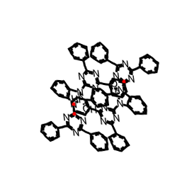 O=P1(c2ccc([PH]3(O)N(c4nc(-c5ccccc5)nc(-c5ccccc5)n4)c4ccccc4N3c3nc(-c4ccccc4)nc(-c4ccccc4)n3)cc2)N(c2nc(C3=CCCC=C3)nc(-c3ccccc3)n2)c2ccccc2N1c1nc(-c2ccccc2)nc(-c2ccccc2)n1